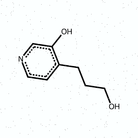 OCCCc1ccncc1O